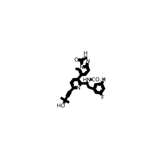 Cc1c(-c2ccc(C#CC(C)(C)O)nc2C(Cc2cc(F)cc(F)c2)NC(=O)O)ccc2n[nH]c(=O)n12